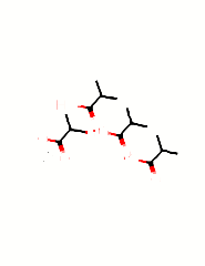 CC(C)C(=O)O.CC(C)C(=O)O.CC(C)C(=O)O.CC(C)C(=O)O.[Zr]